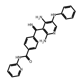 N=C(c1ccc(C(=O)Nc2ccccn2)cc1)c1c(N)ncc(Nc2ccccc2)c1N